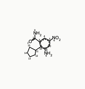 NC(=O)c1cc([N+](=O)[O-])cc(N)c1C1CCCC1